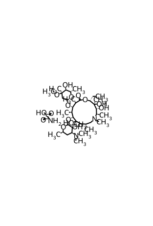 CC[C@H]1OC(=O)[C@H](C)[C@@H](O[C@H]2C[C@@](C)(OC)[C@@H](O)[C@H](C)O2)[C@H](C)[C@@H](O[C@@H]2O[C@H](C)C[C@H](N(C)C)[C@H]2O)[C@](C)(O)C[C@@H](C)CN(C)[C@H](C)[C@@H](O)[C@]1(C)O.NS(=O)(=O)O